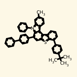 Cc1ccc2c3c4c(cc(-c5ccc(-c6ccccc6)cc5)c3n(-c3ccccc3)c2c1)sc1c(-c2ccc(C(C)(C)C)cc2)cccc14